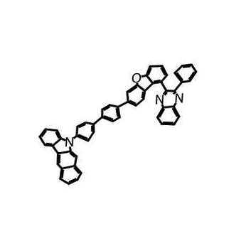 c1ccc(-c2nc3ccccc3nc2-c2cccc3oc4cc(-c5ccc(-c6ccc(-n7c8ccccc8c8cc9ccccc9cc87)cc6)cc5)ccc4c23)cc1